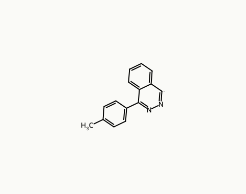 Cc1ccc(-c2nn[c]c3ccccc23)cc1